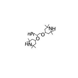 CCCC(COC1CC(C)(C)NC(C)(C)C1)OC1CC(C)(C)NC(C)(C)C1